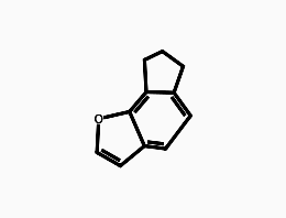 c1cc2ccc3c(c2o1)CCC3